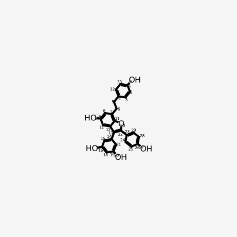 Oc1ccc(CCc2cc(O)cc3c(-c4cc(O)cc(O)c4)c(-c4ccc(O)cc4)oc23)cc1